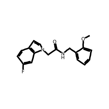 COc1ccccc1CNC(=O)Cn1ccc2ccc(F)cc21